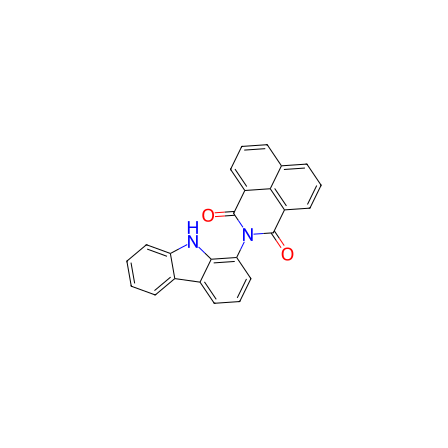 O=C1c2cccc3cccc(c23)C(=O)N1c1cccc2c1[nH]c1ccccc12